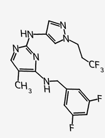 Cc1cnc(Nc2cnn(CCC(F)(F)F)c2)nc1NCc1cc(F)cc(F)c1